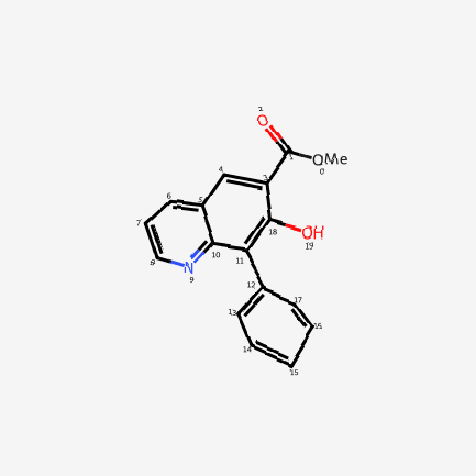 COC(=O)c1cc2cccnc2c(-c2ccccc2)c1O